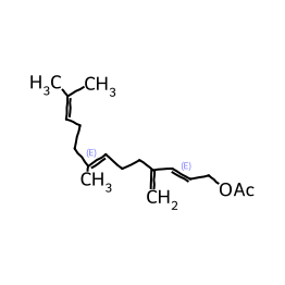 C=C(/C=C/COC(C)=O)CC/C=C(\C)CCC=C(C)C